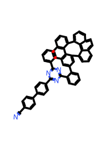 N#Cc1ccc(-c2ccc(-c3nc(-c4ccccc4)nc(-c4ccccc4-c4cc5ccc6cccc7c8cccc9ccc%10cccc(c(c4)c5c67)c%10c98)n3)cc2)cc1